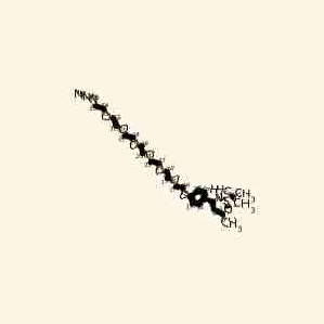 CCCC(N[S+]([O-])C(C)(C)C)c1ccc(OCCOCCOCCOCCOCCOCCOCCN=[N+]=[N-])cc1